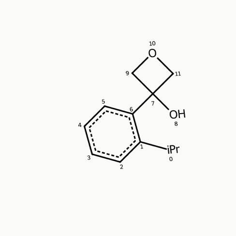 CC(C)c1ccccc1C1(O)COC1